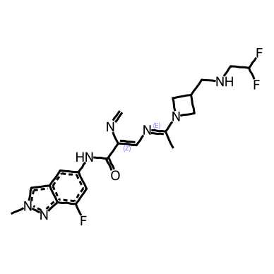 C=N/C(=C\N=C(/C)N1CC(CNCC(F)F)C1)C(=O)Nc1cc(F)c2nn(C)cc2c1